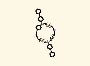 C1=C\c2ccc(cc2)N(c2ccc(-c3ccccc3)cc2)c2ccc(cc2)/C=C\c2ccc(cc2)N(c2ccc(-c3ccccc3)cc2)c2ccc/1cc2